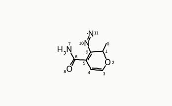 CC1OC=CC(C(N)=O)=C1N=[N]